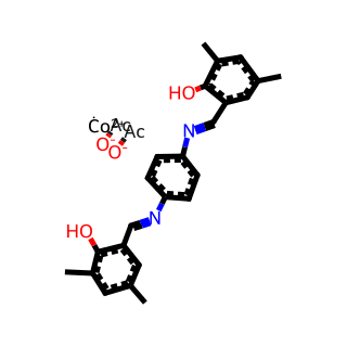 CC(=O)[O-].CC(=O)[O-].Cc1cc(C)c(O)c(C=Nc2ccc(N=Cc3cc(C)cc(C)c3O)cc2)c1.[Co+2]